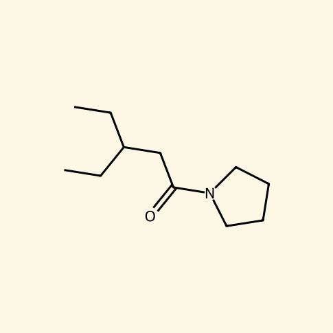 CCC(CC)CC(=O)N1CCCC1